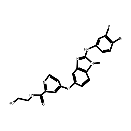 Cn1c(Nc2ccc(Br)c(F)c2)nc2cc(Oc3ccnc(C(=O)NCCO)c3)ccc21